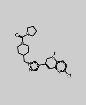 CN1CC(c2cnn(CC3CCN(C(=O)N4CCCC4)CC3)c2)=Cc2nc(Cl)ccc21